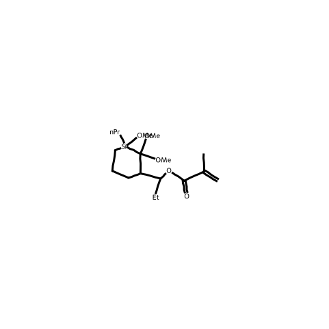 C=C(C)C(=O)OC(CC)C1CCC[Si](CCC)(OC)C1(OC)OC